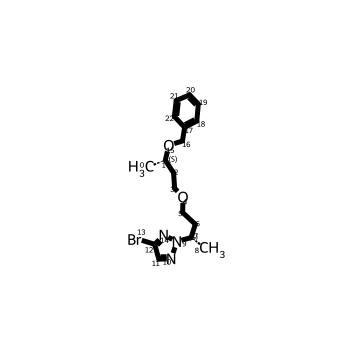 C[C@@H](CCOCC[C@H](C)n1ncc(Br)n1)OCc1ccccc1